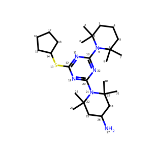 CC1(C)CCCC(C)(C)N1c1nc(SC2CCCC2)nc(N2C(C)(C)CC(N)CC2(C)C)n1